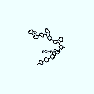 CCCCCCCCC1(CCCCCCCC)c2cc(-c3ccc(-c4ccc(C)cc4)cc3)ccc2-c2ccc(-c3cc(C)cc(-n4c5ccccc5c5cc(-c6ccc7c(c6)c6ccccc6n7-c6ccc(-c7cccc8c7oc7ccccc78)cc6)ccc54)c3)cc21